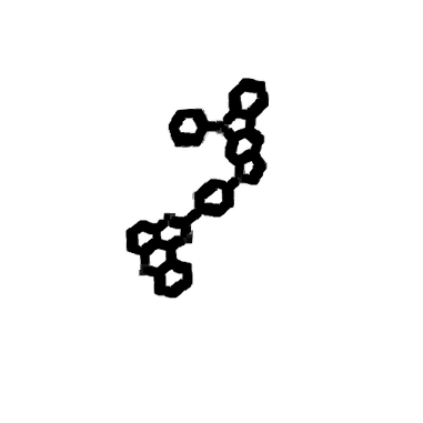 c1ccc(-n2c3ccccc3c3cc4ccn(-c5ccc(-c6nc7c8c(cccc8n6)Sc6ccccc6-7)cc5)c4cc32)cc1